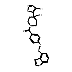 O=C(c1ccc(NSc2cccc3scnc23)cc1)N1CCC(O)(c2sncc2Cl)CC1